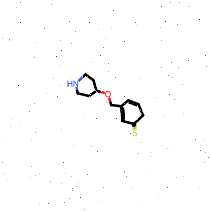 S=C1C=C(COC2CCNCC2)C=CC1